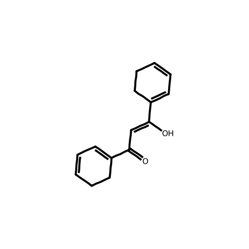 O=C(/C=C(\O)C1=CC=CCC1)C1=CC=CCC1